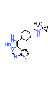 CC1(NC[C@H]2CC[C@H](C3=C4c5cc[nH]c5N=CN4NN3)CC2)CC1